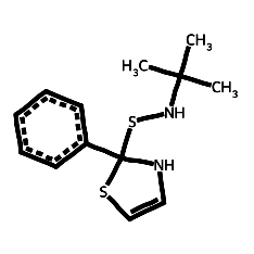 CC(C)(C)NSC1(c2ccccc2)NC=CS1